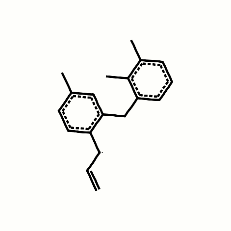 C=C[CH]c1ccc(C)cc1Cc1cccc(C)c1C